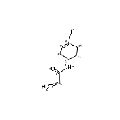 C=CC(=O)NC1CC=C(I)CC1